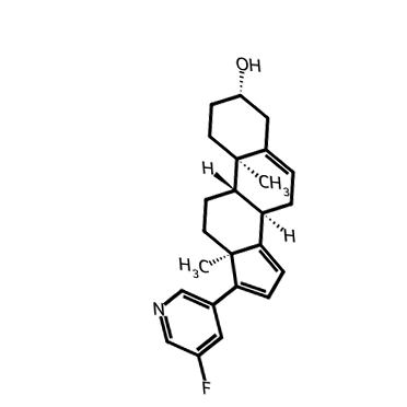 C[C@]12CC[C@H]3[C@@H](CC=C4C[C@@H](O)CC[C@@]43C)C1=CC=C2c1cncc(F)c1